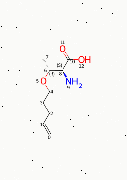 C=CCCCO[C@H](C)[C@H](N)C(=O)O